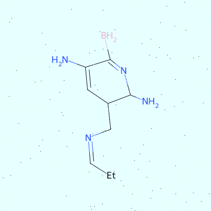 BC1=NC(N)C(C/N=C\CC)C=C1N